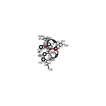 CN[C@H](CC(C)C)C(=O)N[C@H]1C(=O)N[C@@H](CC(N)=O)C(=O)N[C@H]2C(=O)N[C@H]3C(=O)N[C@H](C(=O)N[C@@H](C(=O)NNCCC#N)c4cc(O)cc(O)c4-c4cc3ccc4O)[C@H](O)c3ccc(c(Cl)c3)Oc3cc2cc(c3O[C@@H]2O[C@H](CO)[C@@H](O)[C@H](O)[C@H]2O[C@H]2C[C@](C)(NCc3cncc(C(=O)Nc4cccc(OC(C)(F)F)c4)c3)[C@H](O)[C@H](C)O2)Oc2ccc(cc2Cl)[C@H]1O